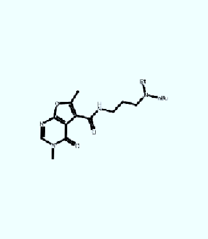 CCCCN(CC)CCCNC(=O)c1c(C)oc2ncn(C)c(=O)c12